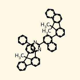 CC1(C)c2c(cccc2-c2ccc(-c3nc(-c4ccccc4)cc(-c4cccc5c4C(C)(c4ccccc4)c4ccccc4-5)n3)c3ccccc23)-c2ccc3ccccc3c21